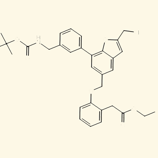 CCOC(=O)Cc1ccccc1OCc1cc(-c2cccc(CNC(=O)OC(C)(C)C)c2)c2oc(CCl)cc2c1